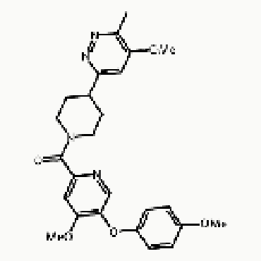 COc1ccc(Oc2cnc(C(=O)N3CCC(c4cc(OC)c(C)nn4)CC3)cc2OC)cc1